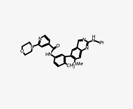 COc1cc2nc(NC(C)C)ncc2cc1-c1cc(NC(=O)c2ccnc(N3CCOCC3)c2)ccc1C